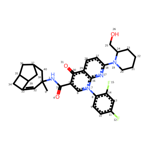 CC1(NC(=O)c2cn(-c3ccc(F)cc3F)c3nc(N4CCCCC4CO)ccc3c2=O)C=C2CC3CC(CC23)C1